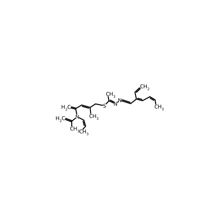 C=CC(/C=N/N=C(\C)SC/C(C)=C/C(=C)N(/C=C\C)C(=C)C)=C\C=C/C